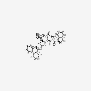 C=C[C@H]1C[C@@]1(NC(=O)[C@@H]1C[C@@H](Oc2nc3ccccc3c3ccccc23)CN1C(=O)OC(C)(C)C)C(=O)n1ncc2ccccc21